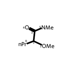 CCCC(OC)C(=O)NC